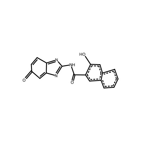 O=C1C=CC2=NC(NC(=O)c3cc4ccccc4cc3O)=NC2=C1